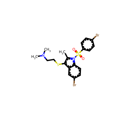 Cc1c(SCCN(C)C)c2cc(Br)ccc2n1S(=O)(=O)c1ccc(Br)cc1